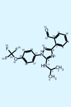 CC(C)Nc1nc(-c2ccccc2C=O)nn1-c1ccc(OC(F)(F)F)cc1